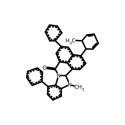 CC1C=CC=CC1c1ccc2c3c(cc(-c4ccccc4)cc13)C(=O)N1c3c(-c4ccccc4)cccc3N(C)C21